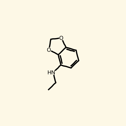 CCNc1cccc2c1OCO2